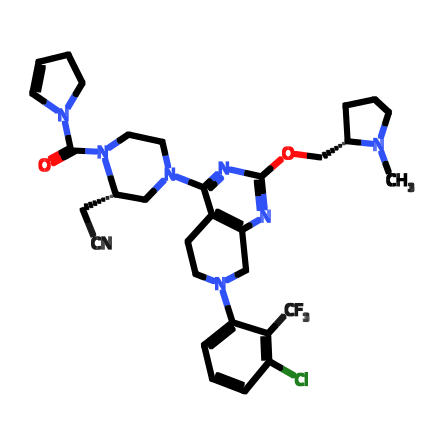 CN1CCC[C@H]1COc1nc2c(c(N3CCN(C(=O)N4C=CCC4)[C@@H](CC#N)C3)n1)CCN(c1cccc(Cl)c1C(F)(F)F)C2